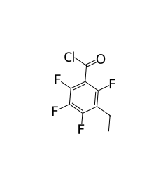 CCc1c(F)c(F)c(F)c(C(=O)Cl)c1F